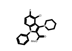 COC(=O)c1c(N2CCCCC2)c2c(Cl)c(F)ccc2n1-c1ccccc1